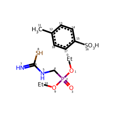 CCOP(=O)(CNC(=N)S)OCC.Cc1ccc(S(=O)(=O)O)cc1